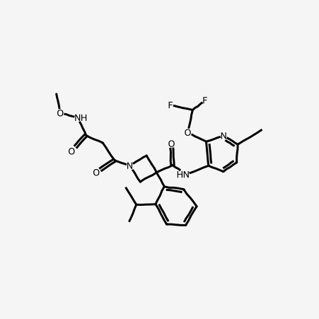 CONC(=O)CC(=O)N1CC(C(=O)Nc2ccc(C)nc2OC(F)F)(c2ccccc2C(C)C)C1